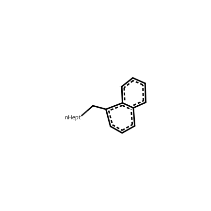 CCCCCCCCc1cccc2ccc[c]c12